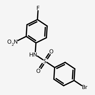 O=[N+]([O-])c1cc(F)ccc1NS(=O)(=O)c1ccc(Br)cc1